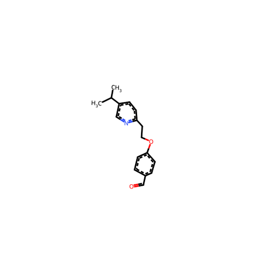 CC(C)c1ccc(CCOc2ccc(C=O)cc2)nc1